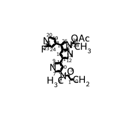 C=CC(=O)N(C)c1cncc(-c2cnc3c(c2)c(-c2ccnc(F)c2)cn3C(C)OC(C)=O)c1